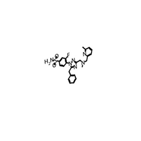 Cc1cccc(CN(C)Cc2nc(Cc3ccccc3)n(-c3ccc(S(N)(=O)=O)cc3F)n2)n1